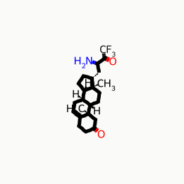 C[C@]12CC[C@H]3[C@@H](CC=C4CCC(=O)C[C@@]43C)[C@@H]1CC[C@@H]2CC(N)C(=O)C(F)(F)F